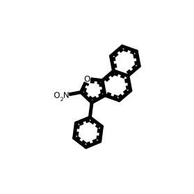 O=[N+]([O-])c1oc2c(ccc3ccccc32)c1-c1ccccc1